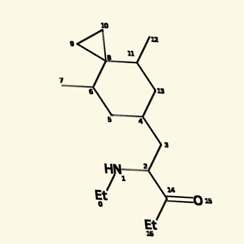 CCNC(CC1CC(C)C2(CC2)C(C)C1)C(=O)CC